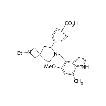 CCN1CC2(CCN(Cc3c(OC)cc(C)c4[nH]ccc34)C(c3ccc(C(=O)O)cc3)C2)C1